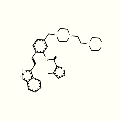 Cc1ccsc1C(=O)Nc1cc(CN2CCN(CCN3CCOCC3)CC2)ccc1/C=C/c1n[nH]c2ccccc12